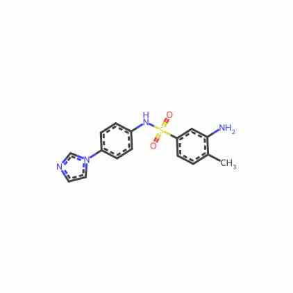 Cc1ccc(S(=O)(=O)Nc2ccc(-n3ccnc3)cc2)cc1N